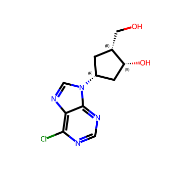 OC[C@H]1C[C@@H](n2cnc3c(Cl)ncnc32)C[C@H]1O